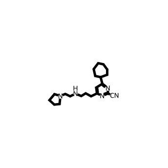 N#Cc1nc(CCCNCCN2CCCC2)cc(C2CCCCCC2)n1